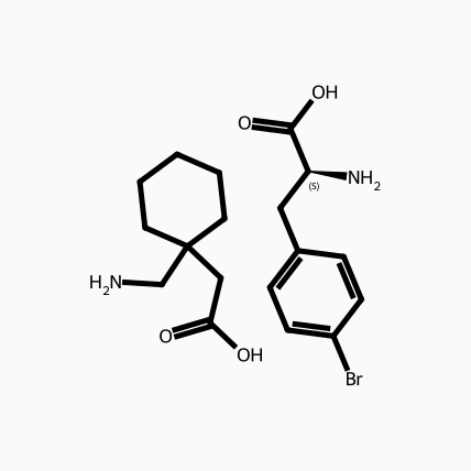 NCC1(CC(=O)O)CCCCC1.N[C@@H](Cc1ccc(Br)cc1)C(=O)O